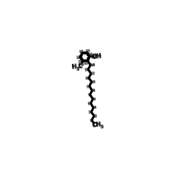 CCCCCCCCCCCCCCCc1c(C)cccc1O